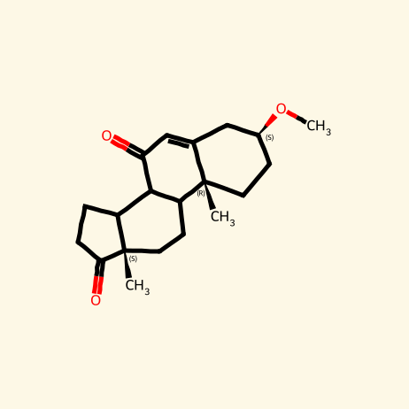 CO[C@H]1CC[C@@]2(C)C(=CC(=O)C3C2CC[C@]2(C)C(=O)CCC32)C1